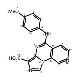 COc1ccc(Nc2nc3c(C(=O)O)ncn3c3cnccc23)cc1